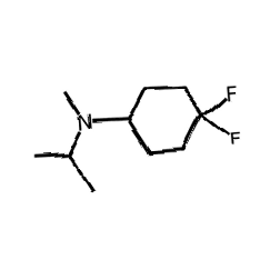 CC(C)N(C)C1CCC(F)(F)CC1